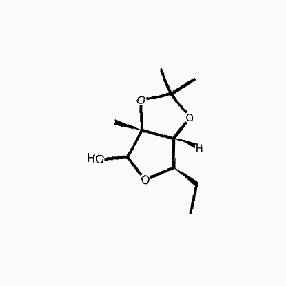 CC[C@H]1OC(O)[C@]2(C)OC(C)(C)O[C@H]12